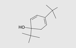 CC(C)(C)C1=CCC(O)(C(C)(C)C)C=C1